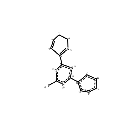 Ic1nc(C2=NCCC=C2)nc(-c2ccccc2)n1